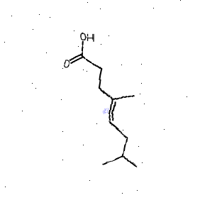 C/C(=C\CC(C)C)CCC(=O)O